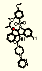 COc1ccc(S(=O)(=O)N2C(=O)C(NC(=O)N3CCN(c4cccnn4)CC3)(c3ccccc3OC(C)C)c3cc(Cl)ccc32)c(OC)c1